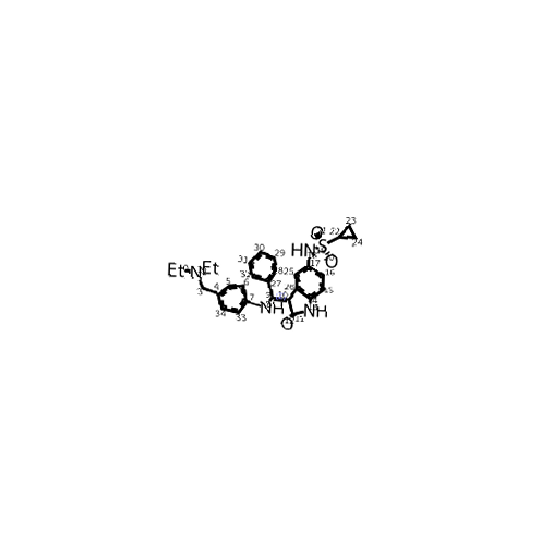 CCN(CC)Cc1ccc(N/C(=C2\C(=O)Nc3ccc(NS(=O)(=O)C4CC4)cc32)c2ccccc2)cc1